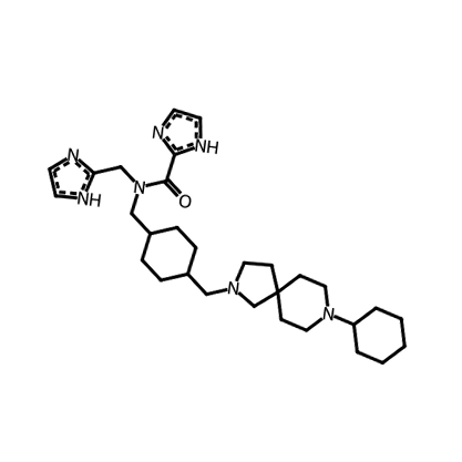 O=C(c1ncc[nH]1)N(Cc1ncc[nH]1)CC1CCC(CN2CCC3(CCN(C4CCCCC4)CC3)C2)CC1